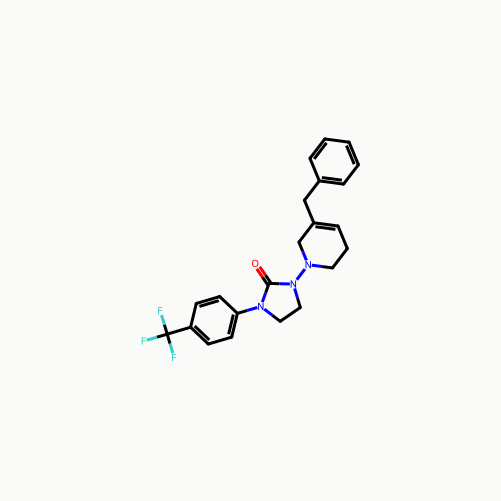 O=C1N(c2ccc(C(F)(F)F)cc2)CCN1N1CCC=C(Cc2ccccc2)C1